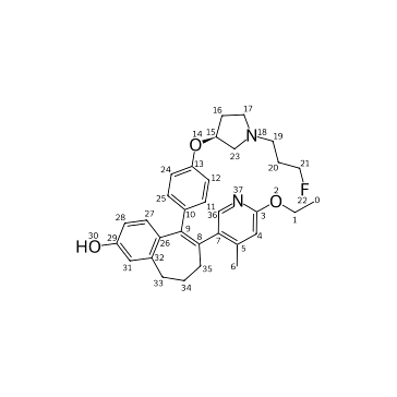 CCOc1cc(C)c(C2=C(c3ccc(O[C@H]4CCN(CCCF)C4)cc3)c3ccc(O)cc3CCC2)cn1